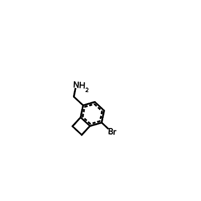 NCc1ccc(Br)c2c1CC2